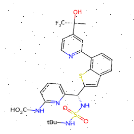 CC(C)(C)NS(=O)(=O)N[C@H](c1cccc(NC(=O)O)n1)c1cc2cccc(-c3cc([C@](C)(O)C(F)(F)F)ccn3)c2s1